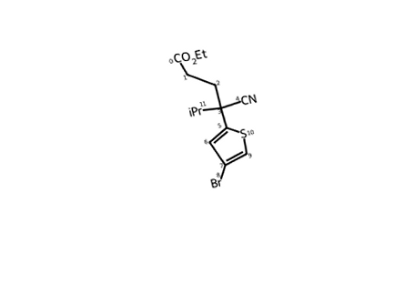 CCOC(=O)CCC(C#N)(c1cc(Br)cs1)C(C)C